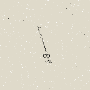 CCN(CC)CCOC(=O)CCCCCCCCCCCCCCC(C)C